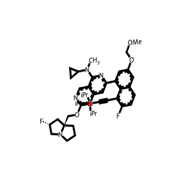 COCOc1cc(-c2cc3nc(OC[C@@]45CCCN4C[C@H](F)C5)ncc3c(N(C)C3CC3)n2)c2c(C#C[Si](C(C)C)(C(C)C)C(C)C)c(F)ccc2c1